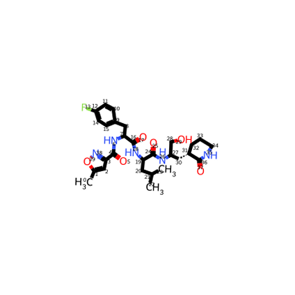 Cc1cc(C(=O)NC(Cc2ccc(F)cc2)C(=O)NC(CC(C)C)C(=O)NC(CO)C[C@@H]2CCCNC2=O)no1